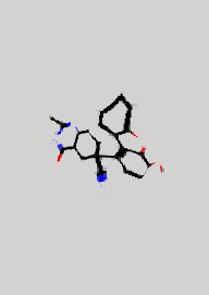 COc1ccc(C2(C#N)CCc3nc(C)[nH]c(=O)c3C2)c2c1oc1ccccc12